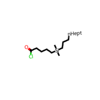 CCCCCCCCCC[Si](C)(C)CCCCC(=O)Cl